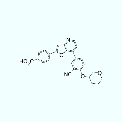 N#Cc1cc(-c2ccnc3cc(-c4ccc(C(=O)O)cc4)oc23)ccc1OC1CCCOC1